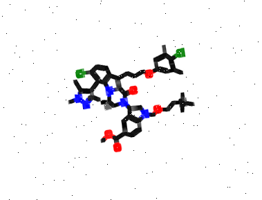 COC(=O)c1ccc2c(c1)c(N1C[C@@H](C)n3c(c(CCCOc4cc(C)c(Cl)c(C)c4)c4ccc(Cl)c(-c5c(C)nn(C)c5C)c43)C1=O)cn2COCC[Si](C)(C)C